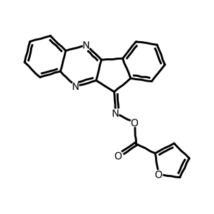 O=C(O/N=C1\c2ccccc2-c2nc3ccccc3nc21)c1ccco1